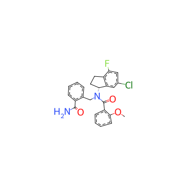 COc1ccccc1C(=O)N(Cc1ccccc1C(N)=O)[C@@H]1CCc2c(F)cc(Cl)cc21